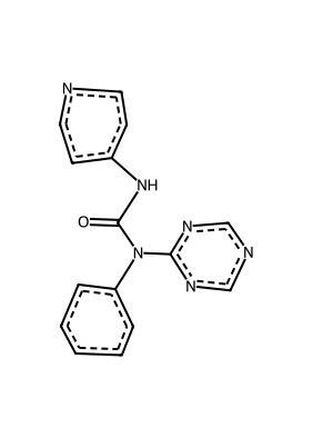 O=C(Nc1ccncc1)N(c1ccccc1)c1ncncn1